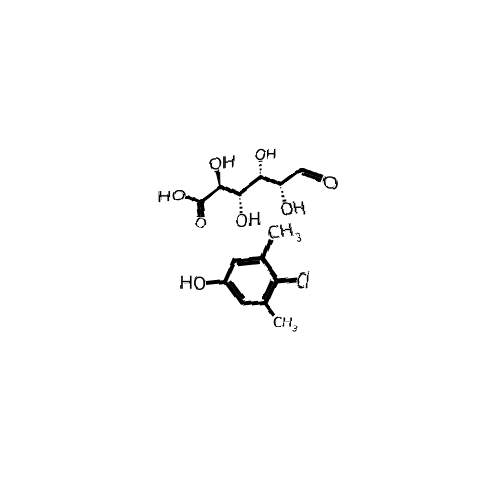 Cc1cc(O)cc(C)c1Cl.O=C[C@H](O)[C@@H](O)[C@H](O)[C@H](O)C(=O)O